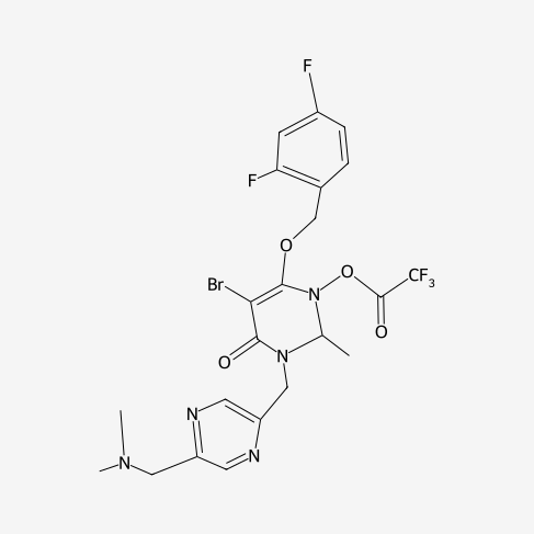 CC1N(Cc2cnc(CN(C)C)cn2)C(=O)C(Br)=C(OCc2ccc(F)cc2F)N1OC(=O)C(F)(F)F